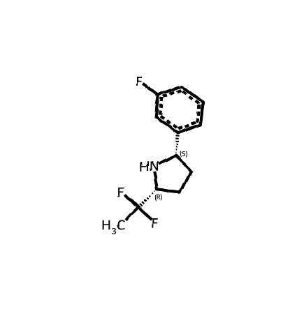 CC(F)(F)[C@H]1CC[C@@H](c2cccc(F)c2)N1